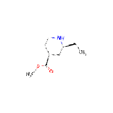 CC[C@H]1C[C@@H](C(=O)OC)CCN1